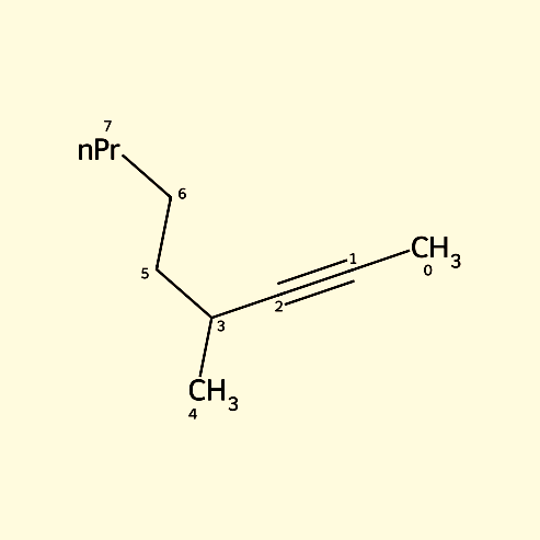 CC#CC(C)CCCCC